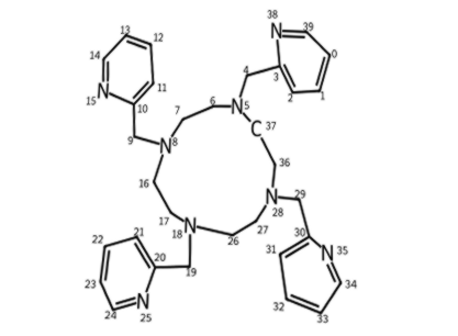 c1ccc(CN2CCN(Cc3ccccn3)CCN(Cc3ccccn3)CCN(Cc3ccccn3)CC2)nc1